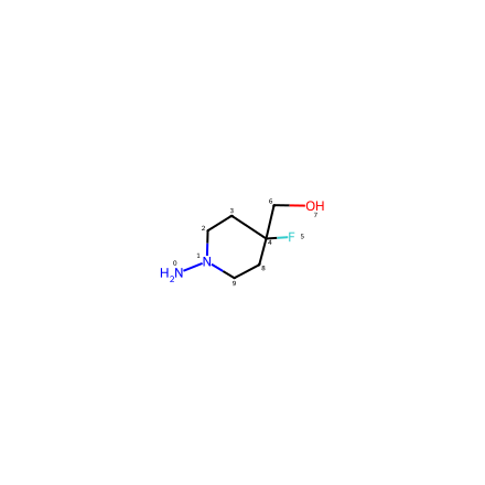 NN1CCC(F)(CO)CC1